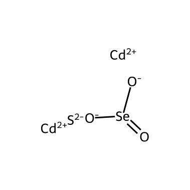 O=[Se]([O-])[O-].[Cd+2].[Cd+2].[S-2]